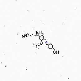 COc1cc(N(C)CCCN=[N+]=[N-])ccc1/N=N/c1ccc(CO)cc1